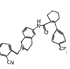 N#Cc1ccccc1CN1CCc2cc(NC(=O)C3=C(c4ccc(C(F)(F)F)cc4)CCCC3)ccc2C1